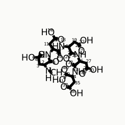 CNC(CC(=O)O)C(=O)NC(CC(=O)O)C(=O)NC(CC(=O)O)C(=O)NC(CC(=O)O)C(=O)NC(CC(=O)O)C(=O)O